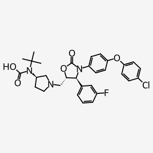 CC(C)(C)N(C(=O)O)[C@@H]1CCN(C[C@@H]2OC(=O)N(c3ccc(Oc4ccc(Cl)cc4)cc3)[C@H]2c2cccc(F)c2)C1